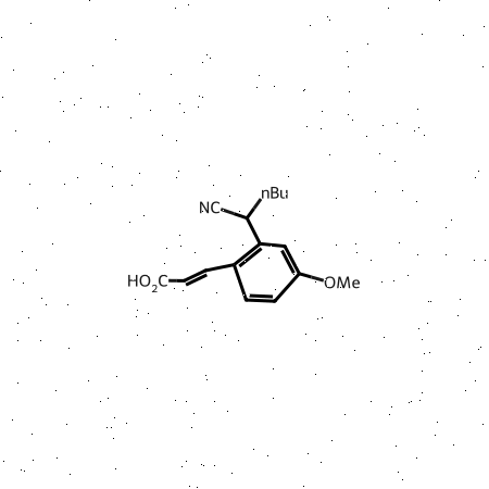 CCCCC(C#N)c1cc(OC)ccc1/C=C/C(=O)O